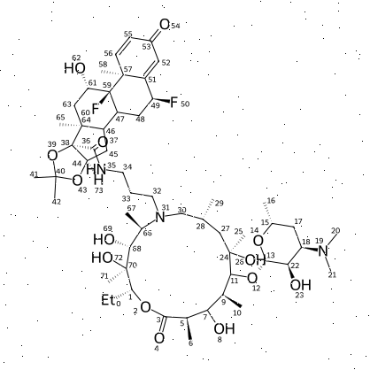 CC[C@H]1OC(=O)[C@H](C)C(O)[C@H](C)C(O[C@@H]2O[C@H](C)C[C@@H](N(C)C)[C@H]2O)[C@](C)(O)C[C@@H](C)CN(CCCNC(=O)[C@@]23OC(C)(C)O[C@@H]2CC2C4C[C@H](F)C5=CC(=O)C=C[C@]5(C)[C@@]4(F)[C@@H](O)C[C@@]23C)[C@H](C)[C@@H](O)[C@]1(C)O